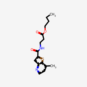 CCCCOC(=O)CCNC(=O)c1cc2nccc(C)c2s1